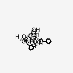 CN(C(=O)NCc1cccc(F)c1Cl)C(COC(=O)Nc1cc(-c2ccccc2)no1)CC(O)CO